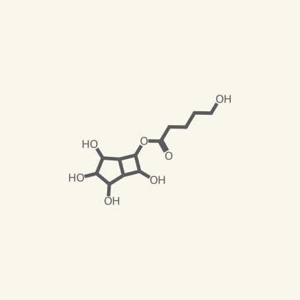 O=C(CCCCO)OC1C(O)C2C(O)C(O)C(O)C12